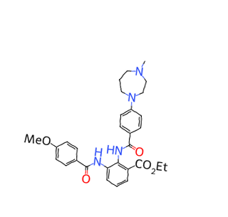 CCOC(=O)c1cccc(NC(=O)c2ccc(OC)cc2)c1NC(=O)c1ccc(N2CCCN(C)CC2)cc1